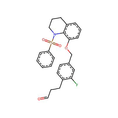 O=CCCc1ccc(COc2cccc3c2N(S(=O)(=O)c2ccccc2)CCC3)cc1F